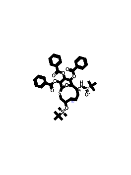 CC(C)(C)[S@@+]([O-])N[C@@H]1C/C=C/C(O[Si](C)(C)C(C)(C)C)CSC2OC1C(OC(=O)c1ccccc1)C(OC(=O)c1ccccc1)C2OC(=O)c1ccccc1